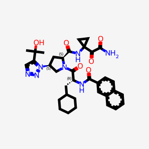 CC(C)(O)c1cnnn1[C@H]1C[C@@H](C(=O)NC2(C(=O)C(N)=O)CC2)N(C(=O)[C@@H](CC2CCCCC2)NC(=O)c2ccc3ccccc3c2)C1